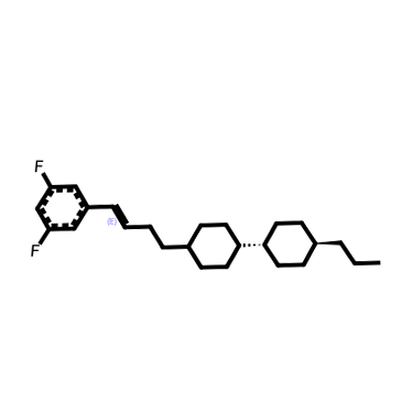 CCC[C@H]1CC[C@H](C2CCC(CC/C=C/c3cc(F)cc(F)c3)CC2)CC1